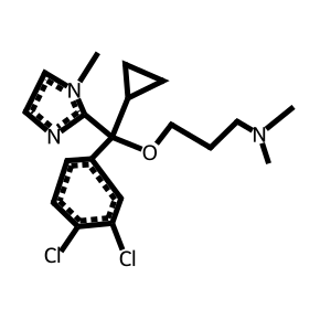 CN(C)CCCOC(c1ccc(Cl)c(Cl)c1)(c1nccn1C)C1CC1